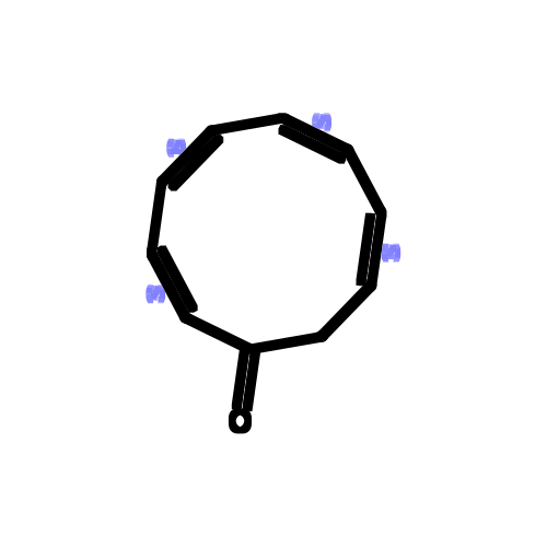 O=C1\C=C/C=C\C=C/C=C\C1